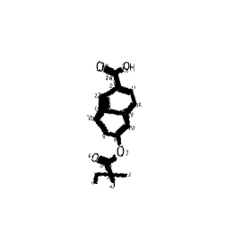 CCC(C)(I)C(=O)Oc1ccc2cc(C(=O)O)ccc2c1